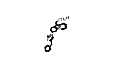 O=C(O)Cc1c2c(n3ccccc13)CC(n1cc(Cc3ccccc3)nn1)CC2